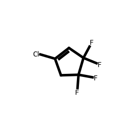 FC1(F)C=C(Cl)CC1(F)F